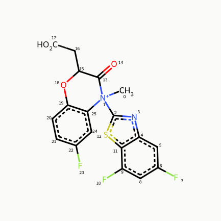 C[N+]1(c2nc3cc(F)cc(F)c3s2)C(=O)C(CC(=O)O)Oc2ccc(F)cc21